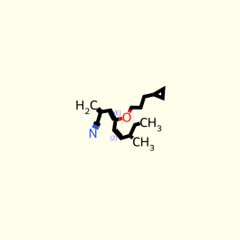 C=C(C#N)/C=C(\C=C/C(C)CC)OCCCC1CC1